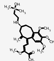 C=C1C[C@@H](NCC[Si](C)(C)O)CCc2c(cc(OC)c(OC)c2OC)/C1=C/C=C(/OC)C(C)=O